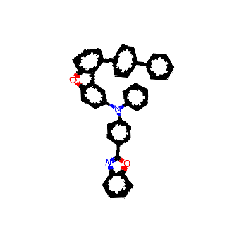 c1ccc(-c2ccc(-c3cccc4oc5ccc(N(c6ccccc6)c6ccc(-c7nc8ccccc8o7)cc6)cc5c34)cc2)cc1